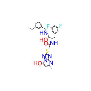 CCc1cccc(CNCC(O)C(Cc2cc(F)cc(F)c2)NC(=O)CSc2nc3nc(C)cc(O)n3n2)c1